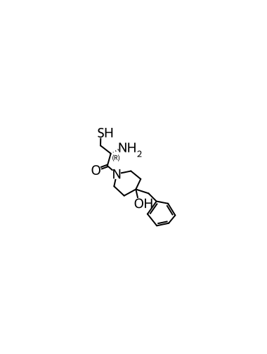 N[C@@H](CS)C(=O)N1CCC(O)(Cc2ccccc2)CC1